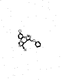 N#Cc1ncn2c1Cc1c(COc3ccccc3)nnn1-c1cc(Cl)ccc1-2